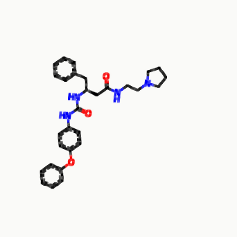 O=C(C[C@H](Cc1ccccc1)NC(=O)Nc1ccc(Oc2ccccc2)cc1)NCCN1CCCC1